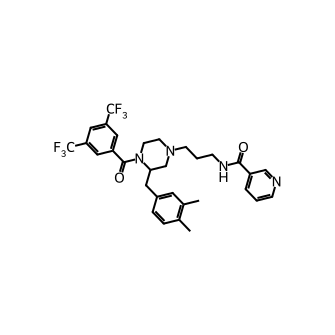 Cc1ccc(CC2CN(CCCNC(=O)c3cccnc3)CCN2C(=O)c2cc(C(F)(F)F)cc(C(F)(F)F)c2)cc1C